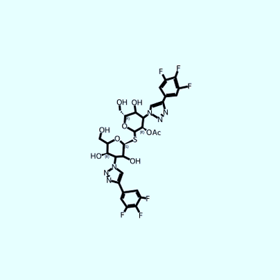 CC(=O)O[C@H]1C(S[C@@H]2OC(CO)[C@H](O)C(n3cc(-c4cc(F)c(F)c(F)c4)nn3)C2O)O[C@H](CO)C(O)C1n1cc(-c2cc(F)c(F)c(F)c2)nn1